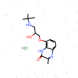 Cc1nc2cccc(OCC(O)CNC(C)(C)C)c2[nH]c1=O.Cl